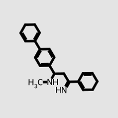 CNC(CC(=N)C1=CCCC=C1)c1ccc(C2=CCCC=C2)cc1